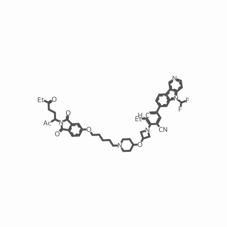 C\C=C(/C=C(C#N)\C(=C\CC)N1CC(OC2CCN(CCCCCOc3ccc4c(c3)C(=O)N(C(CCC(=O)CC)C(C)=O)C4=O)CC2)C1)c1ccc2c3cnccc3n(C(F)F)c2c1